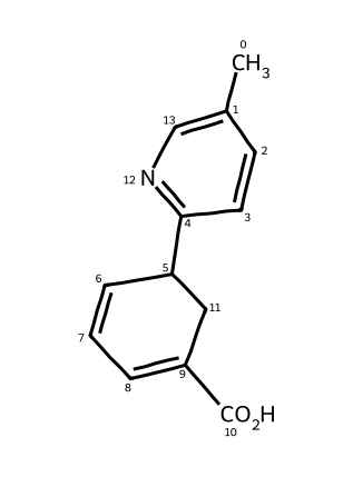 Cc1ccc(C2C=CC=C(C(=O)O)C2)nc1